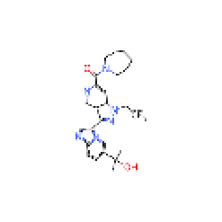 CC(C)(O)c1ccc2ncc(C3=NN(CC(F)(F)F)C4C=C(C(=O)N5CCCCCC5)N=CC34)n2c1